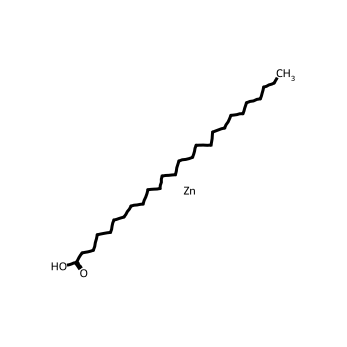 CCCCCCCCCCCCCCCCCCCCCCCCCC(=O)O.[Zn]